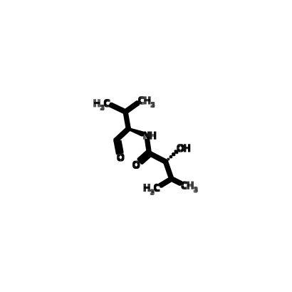 CC(C)[C@H](C=O)NC(=O)[C@H](O)C(C)C